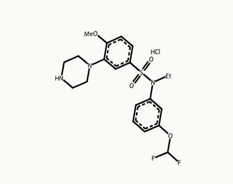 CCN(c1cccc(OC(F)F)c1)S(=O)(=O)c1ccc(OC)c(N2CCNCC2)c1.Cl